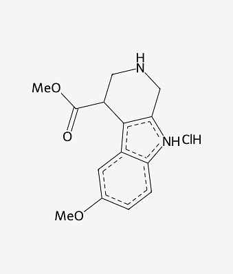 COC(=O)C1CNCc2[nH]c3ccc(OC)cc3c21.Cl